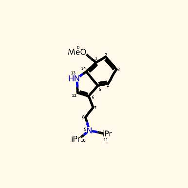 COc1cccc2c(CCN(C(C)C)C(C)C)c[nH]c12